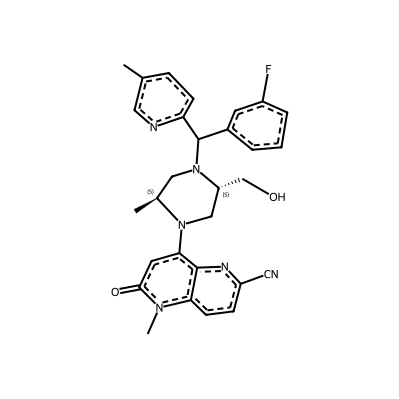 Cc1ccc(C(c2cccc(F)c2)N2C[C@H](C)N(c3cc(=O)n(C)c4ccc(C#N)nc34)C[C@H]2CO)nc1